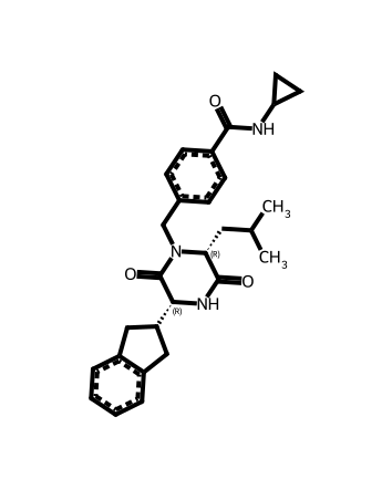 CC(C)C[C@@H]1C(=O)N[C@H](C2Cc3ccccc3C2)C(=O)N1Cc1ccc(C(=O)NC2CC2)cc1